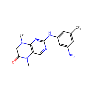 CC(C)N1CC(=O)N(C)c2cnc(Nc3cc(N)cc(C(F)(F)F)c3)nc21